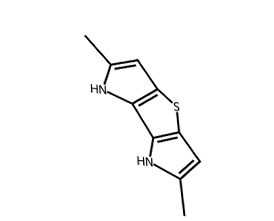 Cc1cc2sc3cc(C)[nH]c3c2[nH]1